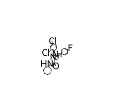 O=C(NC1CCCCCC1)C1=NN(c2ccc(Cl)cc2Cl)[C@@H](c2ccc(F)cc2)C1